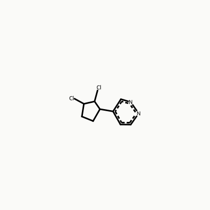 ClC1CCC(c2ccnnc2)C1Cl